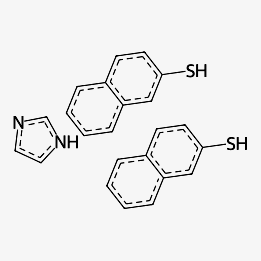 Sc1ccc2ccccc2c1.Sc1ccc2ccccc2c1.c1c[nH]cn1